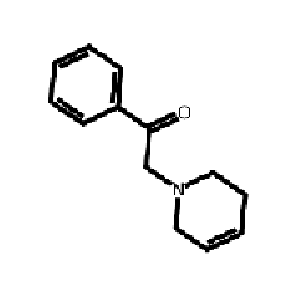 O=C(CN1CC=CCC1)c1ccccc1